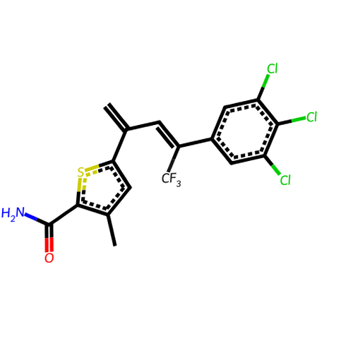 C=C(/C=C(/c1cc(Cl)c(Cl)c(Cl)c1)C(F)(F)F)c1cc(C)c(C(N)=O)s1